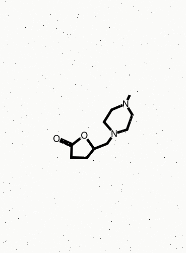 CN1CCN(CC2CCC(=O)O2)CC1